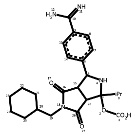 CC(C)C1(OC(=O)O)NC(c2ccc(C(=N)N)cc2)C2C(=O)N(CC3CCCCC3)C(=O)C21